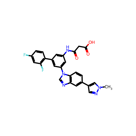 Cn1cc(-c2ccc3c(c2)ncn3-c2cc(NC(=O)CC(=O)O)cc(-c3ccc(F)cc3F)c2)cn1